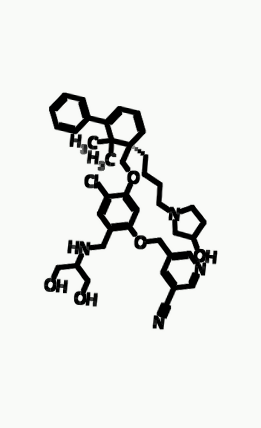 CC1(C)C(c2ccccc2)=CC=C[C@@]1(CCCCN1CCC(O)C1)COc1cc(OCc2cncc(C#N)c2)c(CNC(CO)CO)cc1Cl